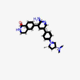 C[C@H]1C[C@@H](N(C)C)CN1c1ccc(-c2cnc(N)c(-c3ccc4c(c3)CCNC4=O)c2)cc1